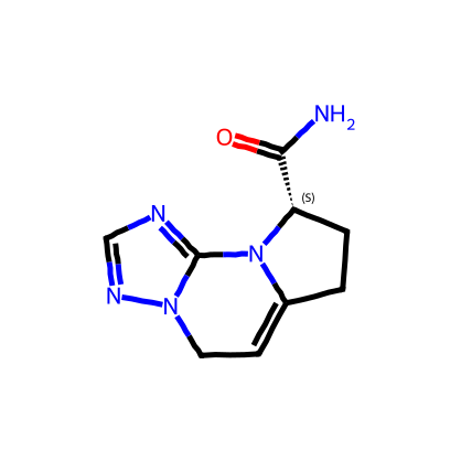 NC(=O)[C@@H]1CCC2=CCn3ncnc3N21